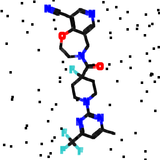 Cc1cc(C(F)(F)F)nc(N2CCC(F)(C(=O)N3CCOc4c(C#N)cncc4C3)CC2)n1